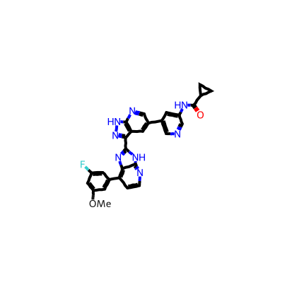 COc1cc(F)cc(-c2ccnc3[nH]c(-c4n[nH]c5ncc(-c6cncc(NC(=O)C7CC7)c6)cc45)nc23)c1